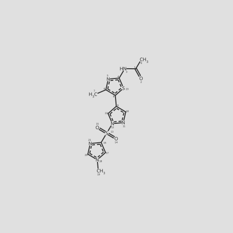 CC(=O)Nc1nc(C)c(-c2cnn(S(=O)(=O)c3cn(C)cn3)c2)s1